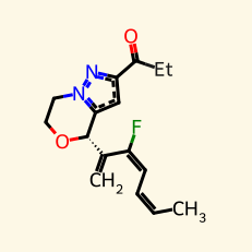 C=C(/C(F)=C\C=C/C)[C@@H]1OCCn2nc(C(=O)CC)cc21